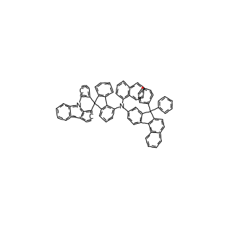 c1ccc(C2(c3ccccc3)c3cc(N(c4cccc5c4-c4ccccc4C54c5ccccc5-n5c6ccccc6c6cccc4c65)c4cccc5ccccc45)ccc3-c3c2ccc2ccccc32)cc1